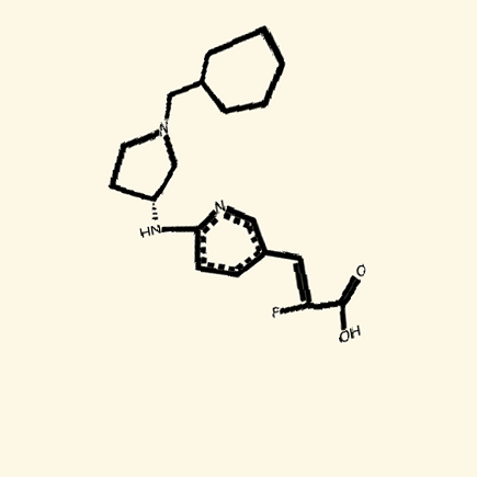 O=C(O)C(F)=Cc1ccc(N[C@@H]2CCN(CC3CCCCC3)C2)nc1